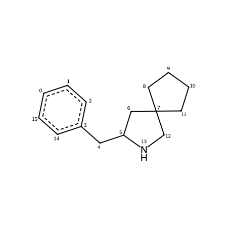 c1ccc(CC2CC3(CCCC3)CN2)cc1